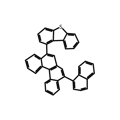 c1ccc2c(-c3cc4cc(-c5cccc6sc7ccccc7c56)c5ccccc5c4c4ccccc34)cccc2c1